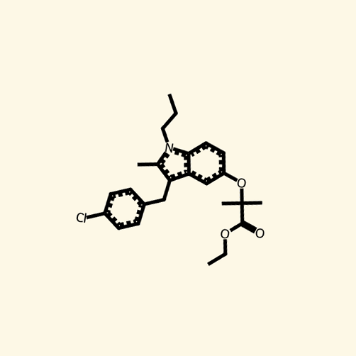 CCCn1c(C)c(Cc2ccc(Cl)cc2)c2cc(OC(C)(C)C(=O)OCC)ccc21